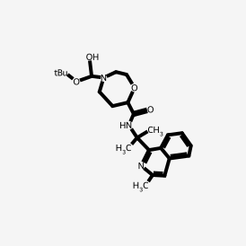 Cc1cc2ccccc2c(C(C)(C)NC(=O)C2CCN(C(O)OC(C)(C)C)CCO2)n1